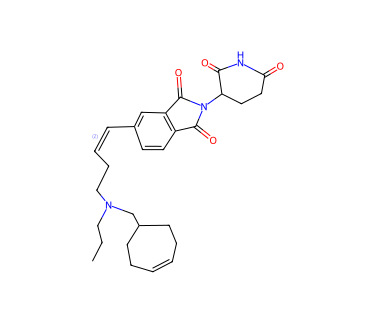 CCCN(CC/C=C\c1ccc2c(c1)C(=O)N(C1CCC(=O)NC1=O)C2=O)CC1CCC=CCC1